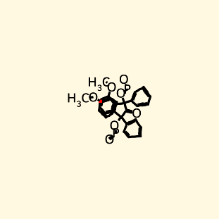 COc1cccc(C(OP=O)(C(=O)C(OP=O)(c2ccccc2)c2cccc(OC)c2)c2ccccc2)c1